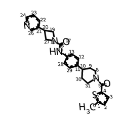 Cc1ccc(C(=O)N2CCC(c3ccc(NC(=O)N4CC(c5cccnc5)C4)cc3)CC2)s1